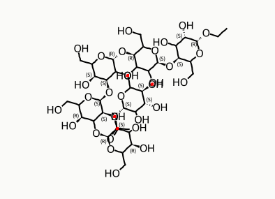 CCO[C@@H]1OC(CO)[C@@H](O[C@@H]2OC(CO)[C@H](O[C@H]3OC(CO)[C@H](O)[C@H](O[C@@H]4OC(CO)[C@H](O)C(O[C@@H]5OC(CO)[C@H](O)C(O)[C@@H]5O[C@@H]5OC(C)[C@@H](O)[C@H](O)C5O)[C@@H]4NC(C)=O)C3O)C(O)C2O)C(O)[C@@H]1O